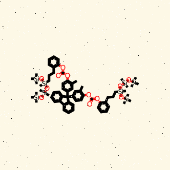 Cc1cc(C2(c3ccc(OC(=O)Oc4ccccc4CCC[Si](C)(O[Si](C)(C)C)O[Si](C)(C)O[Si](C)(C)C)c(C)c3)c3ccccc3-c3ccccc32)ccc1OC(=O)Oc1ccccc1CCC[Si](C)(O[Si](C)(C)C)O[Si](C)(C)O[Si](C)(C)C